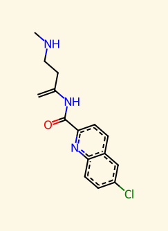 C=C(CCNC)NC(=O)c1ccc2cc(Cl)ccc2n1